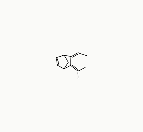 CC=C1C(=C(C)C)C2C=CC1C2